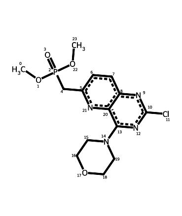 COP(=O)(Cc1ccc2nc(Cl)nc(N3CCOCC3)c2n1)OC